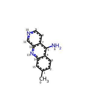 Cc1ccc2c(N)c3ccncc3nc2c1